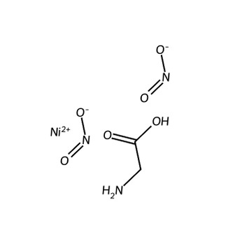 NCC(=O)O.O=N[O-].O=N[O-].[Ni+2]